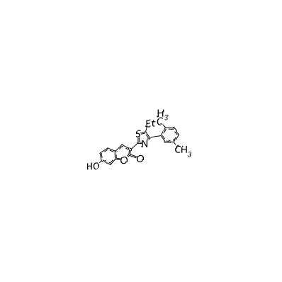 CCc1sc(-c2cc3ccc(O)cc3oc2=O)nc1-c1cc(C)ccc1C